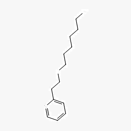 BrCCCCCCSCCc1ccccn1